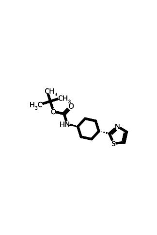 CC(C)(C)OC(=O)N[C@H]1CC[C@H](c2nccs2)CC1